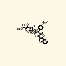 CO[C@@]1(NC(=O)C(NC(=O)c2cnc3cccnc3c2O)c2ccc(O)cc2)C(=O)N2C(C(=O)[O-])=C(COC(C)=O)CS[C@H]21.[Na+]